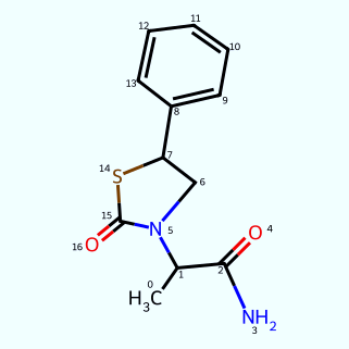 CC(C(N)=O)N1CC(c2ccccc2)SC1=O